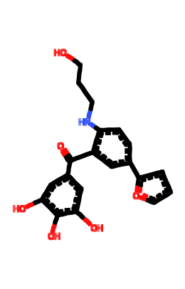 O=C(c1cc(O)c(O)c(O)c1)c1cc(-c2ccco2)ccc1NCCCO